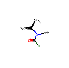 C=C(C)N(C(=O)Cl)C(C)C